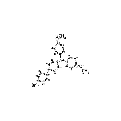 COc1ccc(N(c2ccc(OC)cc2)c2ccc(-c3ccc(Br)cc3)cc2)cc1